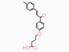 Cc1ccc(/C=C/C(=O)c2ccc(OCCCC(=O)O)cc2)cc1